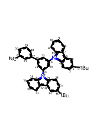 CC(C)(C)c1ccc2c(c1)c1ccccc1n2-c1cc(-c2cccc(C#N)c2)cc(-n2c3ccccc3c3cc(C(C)(C)C)ccc32)c1